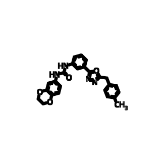 Cc1ccc(Cc2nnc(-c3cccc(NC(=O)Nc4ccc5c(c4)OCCO5)c3)o2)cc1